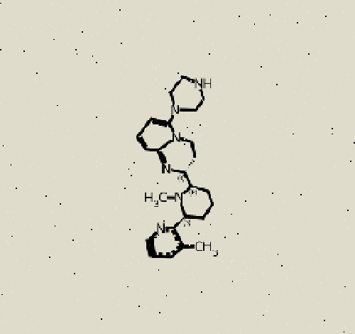 Cc1cc#cnc1[C@@H]1CCC[C@H]([C@H]2CCN3C(N4CCNCC4)=CC=CC3=N2)N1C